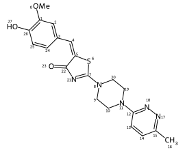 COc1cc(C=C2SC(N3CCN(c4ccc(C)nn4)CC3)=NC2=O)ccc1O